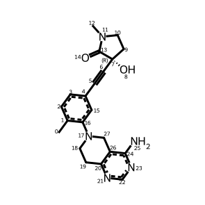 Cc1ccc(C#C[C@]2(O)CCN(C)C2=O)cc1N1CCc2ncnc(N)c2C1